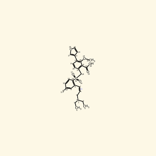 CCN(CC)C/C=C\c1cc(F)ccc1S(=O)(=O)Cc1ccc(-c2ccoc2)c(OC)c1C(=O)O